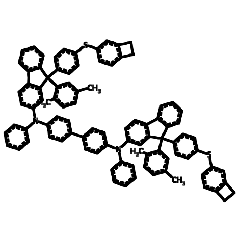 Cc1ccc(C)c(C2(c3ccc(Sc4ccc5c(c4)CC5)cc3)c3ccccc3-c3ccc(N(c4ccccc4)c4ccc(-c5ccc(N(c6ccccc6)c6ccc7c(c6)C(c6ccc(Sc8ccc9c(c8)CC9)cc6)(c6cc(C)ccc6C)c6ccccc6-7)cc5)cc4)cc32)c1